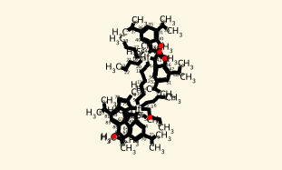 CCC[CH2][Hf]([CH2]CCC)([CH2]CCCC[CH2][Hf]([CH2]CCC)([CH2]CCC)([SiH2]C)([CH]1C(C)=Cc2c(C(C)C)cc(C(C)C)cc21)[CH]1C(C)=Cc2c(C(C)C)cc(C(C)C)cc21)([SiH2]C)([CH]1C(C)=Cc2c(C(C)C)cc(C(C)C)cc21)[CH]1C(C)=Cc2c(C(C)C)cc(C(C)C)cc21